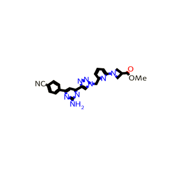 COC(=O)C1CN(c2cccc(Cn3cc(-c4cc(-c5ccc(C#N)cc5)nc(N)n4)nn3)n2)C1